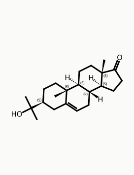 CC(C)(O)[C@H]1CC[C@@]2(C)C(=CC[C@@H]3[C@@H]2CC[C@]2(C)C(=O)CC[C@@H]32)C1